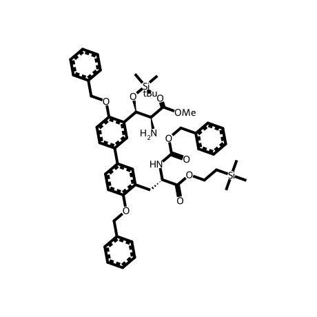 COC(=O)[C@@H](N)[C@H](O[Si](C)(C)C(C)(C)C)c1cc(-c2ccc(OCc3ccccc3)c(C[C@H](NC(=O)OCc3ccccc3)C(=O)OCC[Si](C)(C)C)c2)ccc1OCc1ccccc1